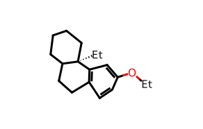 CCOc1ccc2c(c1)[C@]1(CC)CCCCC1CC2